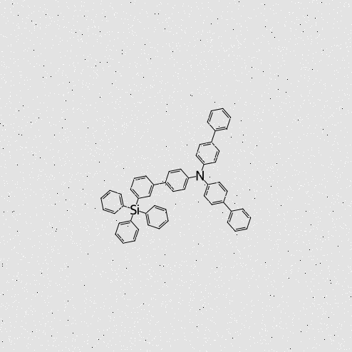 c1ccc(-c2ccc(N(c3ccc(-c4ccccc4)cc3)c3ccc(-c4cccc([Si](c5ccccc5)(c5ccccc5)c5ccccc5)c4)cc3)cc2)cc1